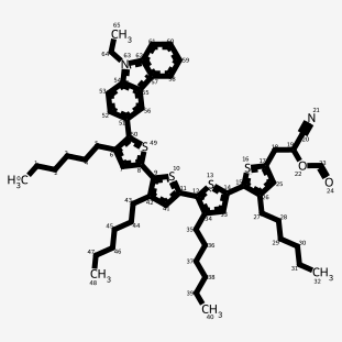 CCCCCCc1cc(-c2sc(-c3sc(-c4sc(CC(C#N)OC=O)cc4CCCCCC)cc3CCCCCC)cc2CCCCCC)sc1-c1ccc2c(c1)c1ccccc1n2CC